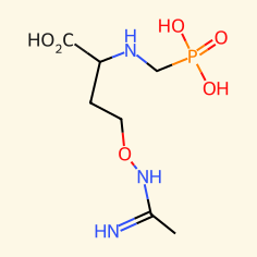 CC(=N)NOCCC(NCP(=O)(O)O)C(=O)O